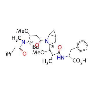 CCC(C)[C@@H](C(CC(=O)N1C2CC2C[C@H]1C(OC)C(C)C(=O)NC(Cc1ccccc1)C(=O)O)OC)N(C)C(=O)CC(C)C